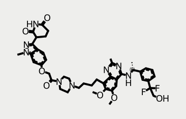 COc1cc2c(N[C@H](C)c3cccc(C(F)(F)CO)c3)nc(C)nc2c(CCCCN2CCN(C(=O)COc3ccc4c(C5CCC(=O)NC5=O)nn(C)c4c3)CC2)c1OC